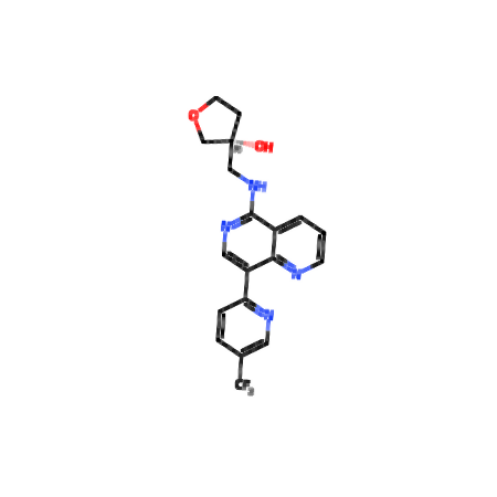 O[C@@]1(CNc2ncc(-c3ccc(C(F)(F)F)cn3)c3ncccc23)CCOC1